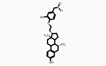 CCN(CC)Cc1ccc(OCC[C@H]2CCC3C4C(CC[C@@]32C)c2ccc(O)cc2C[C@H]4C)c(O)c1